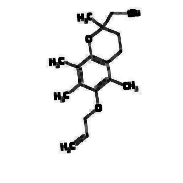 C=CCOc1c(C)c(C)c2c(c1C)CCC(C)(CC(C)(C)C)O2